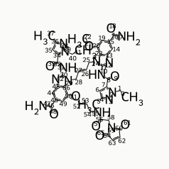 CCn1nc(C)cc1C(=O)Nc1nc2cc(C(N)=O)cc(OC)c2n1C/C=C/Cn1c(NC(=O)c2cc(C)nn2CC)nc2cc(C(N)=O)cc(OCCCNC(=O)CN3C(=O)C=CC3=O)c21